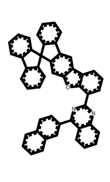 c1ccc2c(c1)-c1ccccc1C21c2ccccc2-c2cc3c(cc21)oc1c(-c2nc(-c4ccc5ccccc5c4)c4ccccc4n2)cccc13